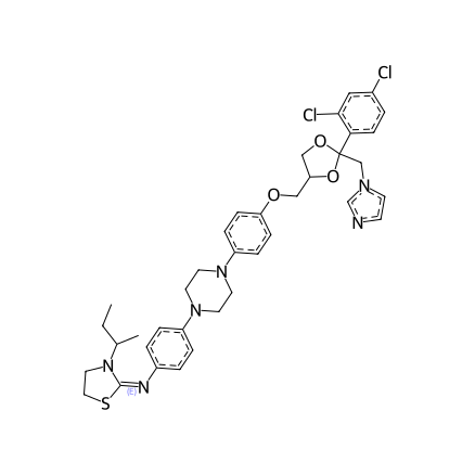 CCC(C)N1CCS/C1=N/c1ccc(N2CCN(c3ccc(OCC4COC(Cn5ccnc5)(c5ccc(Cl)cc5Cl)O4)cc3)CC2)cc1